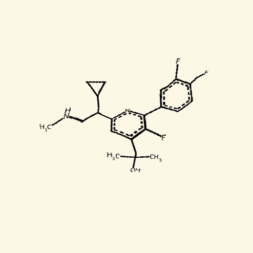 CNCC(c1cc(C(C)(C)O)c(F)c(-c2ccc(F)c(F)c2)n1)C1CC1